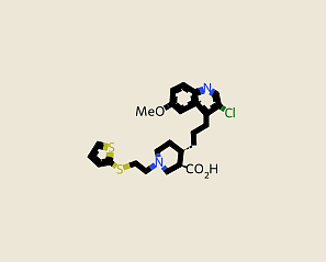 COc1ccc2ncc(Cl)c(CCC[C@H]3CCN(CCSc4cccs4)C[C@H]3C(=O)O)c2c1